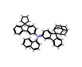 c1ccc2c(c1)-c1cc(N(c3ccc4c(c3)-c3ccccc3C43C4CC5CC(C4)CC3C5)c3cccc4ccccc34)ccc1C21CCCC1